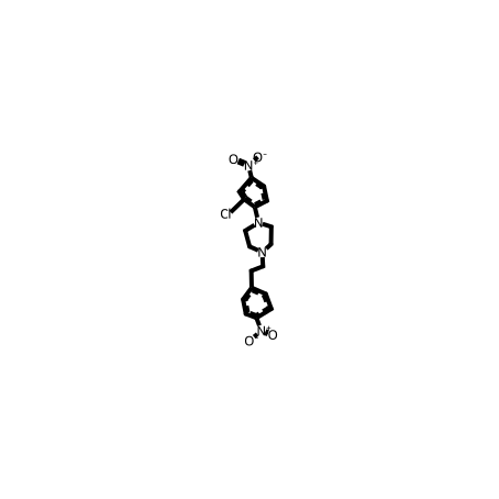 O=[N+]([O-])c1ccc(CCN2CCN(c3ccc([N+](=O)[O-])cc3Cl)CC2)cc1